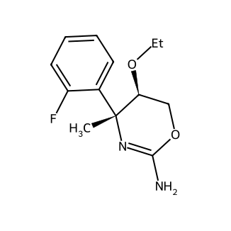 CCO[C@H]1COC(N)=N[C@]1(C)c1ccccc1F